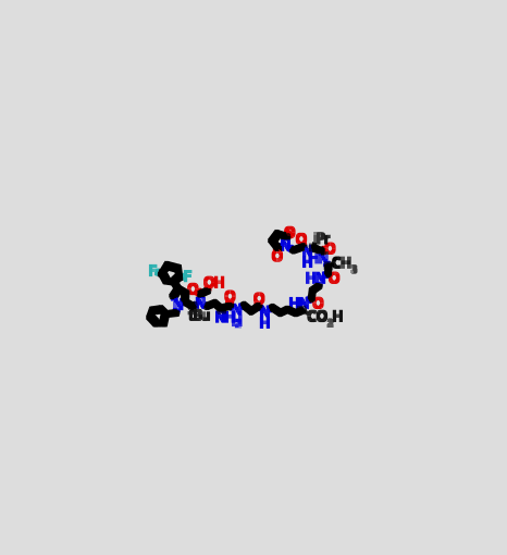 CC(C)[C@H](NC(=O)CN1C(=O)C=CC1=O)C(=O)N[C@@H](C)C(=O)NCCC(=O)N[C@@H](CCCCNC(=O)CCNC(=O)[C@@H](N)CCN(C(=O)CO)[C@@H](c1cc(-c2cc(F)ccc2F)cn1Cc1ccccc1)C(C)(C)C)C(=O)O